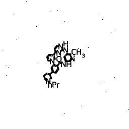 CCCN1CCCC(c2ccc(C(=O)Nc3cnc(C)c(Nc4nccc(-c5cccnc5)n4)c3)cc2)C1